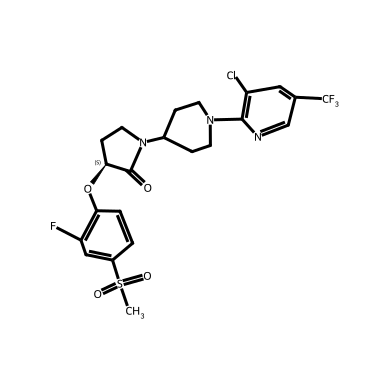 CS(=O)(=O)c1ccc(O[C@H]2CCN(C3CCN(c4ncc(C(F)(F)F)cc4Cl)CC3)C2=O)c(F)c1